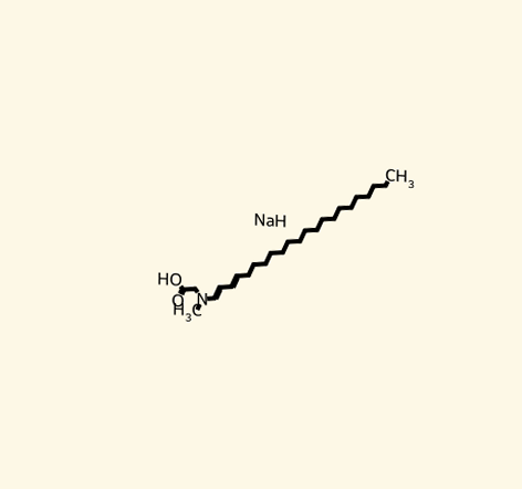 CCCCCCCCCCCCCCCCCCC=CC=CN(C)CC(=O)O.[NaH]